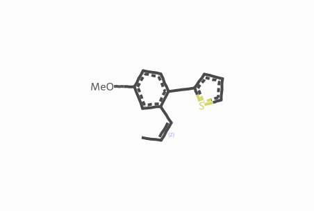 C/C=C\c1cc(OC)ccc1-c1cccs1